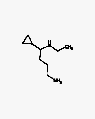 CCNC(CCCN)C1CC1